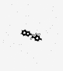 CC(=O)Oc1cc(C)ccc1C(=O)NC1Cc2ccccc2C1